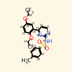 Cc1ccc(S(=O)(=O)Nc2nccc(-c3cc(OCC(F)(F)F)ccc3OCC(F)(F)F)n2)cc1